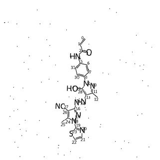 C=CC(=O)Nc1ccc(-n2nc(C)c(N=Nc3nn(-c4nccs4)c(C)c3C#N)c2O)cc1